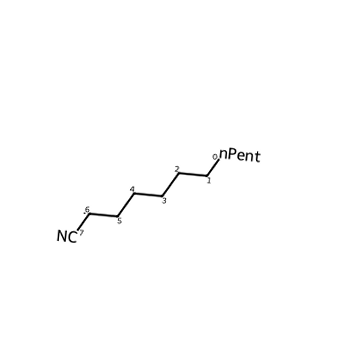 CCCCCCCCCC[CH]C#N